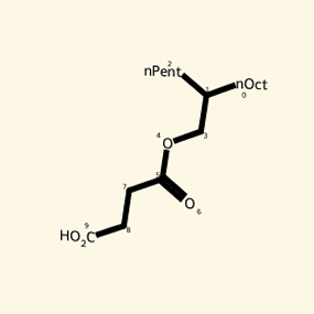 CCCCCCCCC(CCCCC)COC(=O)CCC(=O)O